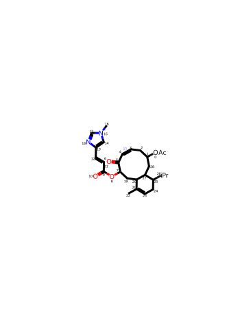 CC(=O)OC1C/C=C\C(=O)C(OC(=O)C=Cc2cn(C)cn2)CC2C(C)=CCC(C(C)C)C2C1